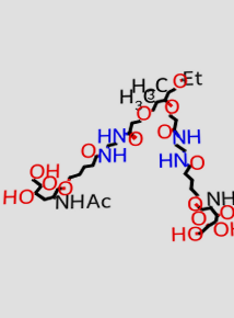 CCOCC(C)C(OCCC(=O)NCCNC(=O)CCCCOC1OC(CO)C(O)C(O)C1NC(C)=O)C(C)COCCC(=O)NCCNC(=O)CCCCOC1OC(CO)C(O)CC1NC(C)=O